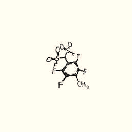 Cc1c(F)c(F)c(C(S(=O)(=O)F)S(=O)(=O)F)c(F)c1F